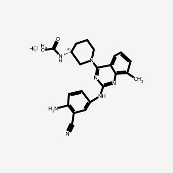 CC(=O)N[C@@H]1CCCN(c2nc(Nc3ccc(N)c(C#N)c3)nc3c(C)cccc23)C1.Cl